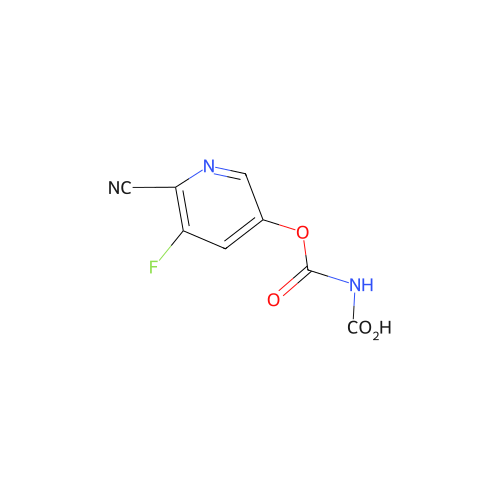 N#Cc1ncc(OC(=O)NC(=O)O)cc1F